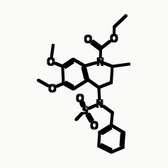 CCOC(=O)N1c2cc(OC)c(OC)cc2C(N(Cc2ccccc2)S(C)(=O)=O)CC1C